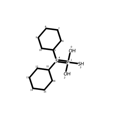 OP(O)(S)=S(C1CCCCC1)C1CCCCC1